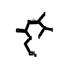 CCSC(=O)/N=C(/I)N(I)I